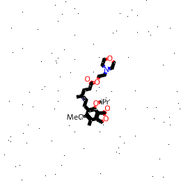 COc1c(C)c2c(c(OC(C)C)c1C/C=C(\C)CCC(=O)OCCN1CCOCC1)C(=O)OC2